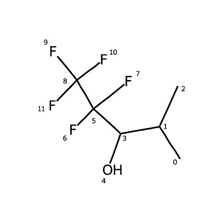 CC(C)C(O)C(F)(F)C(F)(F)F